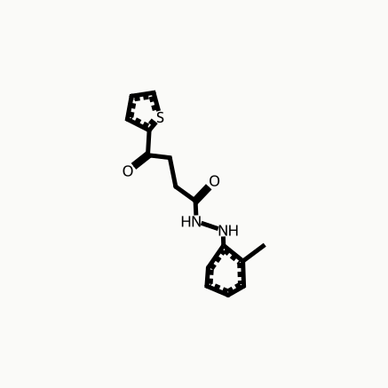 Cc1ccccc1NNC(=O)CCC(=O)c1cccs1